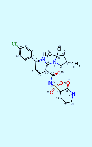 C[C@@H]1CN(c2nc(-c3ccc(Cl)cc3)ccc2C(=O)NS(=O)(=O)C2CCCNC2=O)C(C)(C)C1